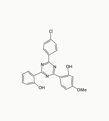 COc1ccc(-c2nc(-c3ccc(Cl)cc3)nc(-c3ccccc3O)n2)c(O)c1